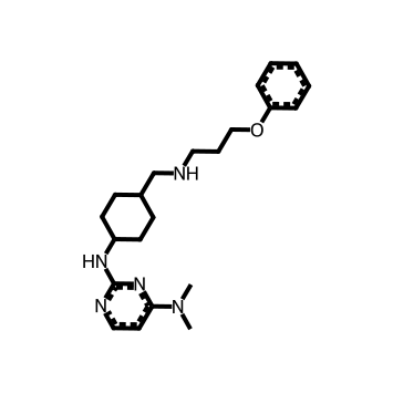 CN(C)c1ccnc(NC2CCC(CNCCCOc3ccccc3)CC2)n1